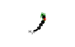 CCCCC[C@H]1CC[C@H]([C@H]2CC[C@H](c3ccc(C(F)(F)Oc4cc(F)c(C(F)(F)F)c(F)c4)cc3)CC2)CC1